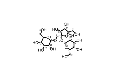 OC[C@H]1OC(OC[C@@]2(O[C@H]3O[C@H](CO)[C@@H](O)[C@H](O)[C@H]3O)O[C@H](CO)[C@@H](O)[C@@H]2O)[C@H](O)[C@@H](O)[C@H]1O